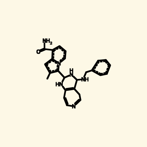 Cc1cc2c(C(N)=O)cccn2c1C1NC2=C(CC=NC=C2)C(NCc2ccccc2)N1